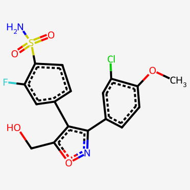 COc1ccc(-c2noc(CO)c2-c2ccc(S(N)(=O)=O)c(F)c2)cc1Cl